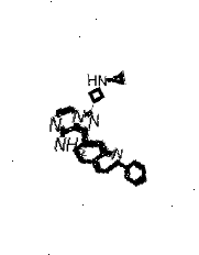 Nc1nccn2c1c(-c1ccc3ccc(-c4ccccc4)nc3c1)nc2[C@H]1C[C@@H](NC2CC2)C1